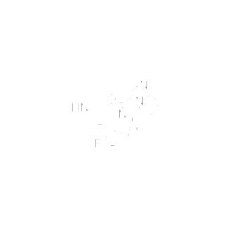 O=C(C(C1CCNCC1)n1c(=O)c2cccc3ncc(c1=O)n32)C(F)(F)F